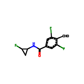 O=Cc1c(F)cc(C(=O)NC2CC2F)cc1F